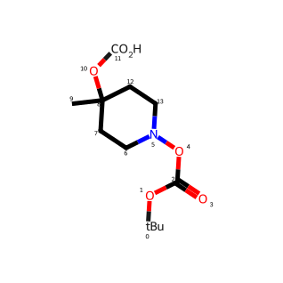 CC(C)(C)OC(=O)ON1CCC(C)(OC(=O)O)CC1